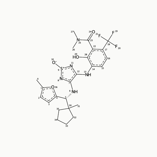 Cc1ccc([C@H](Nc2n[s+]([O-])nc2Nc2ccc(C(F)(F)F)c(C(=O)N(C)C)c2O)C2(C)CCCC2)o1